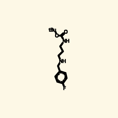 CC(C)(C)OC(=O)NCCCNCc1ccc(F)cc1